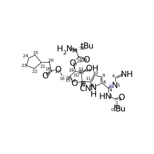 CC[C@@H](C)C(=O)N/C(=N/C=N)c1ccc([C@]2(C#N)O[C@H](COC(=O)CC3CCCC3)[C@@H](OC(=O)[C@H](N)C(C)(C)C)[C@H]2O)[nH]1